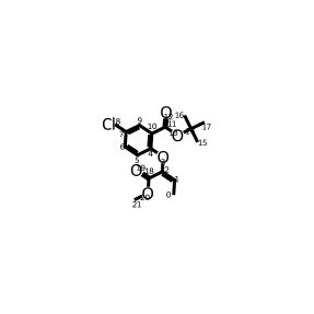 CC=C(Oc1ccc(Cl)cc1C(=O)OC(C)(C)C)C(=O)OC